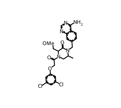 COCC1C(=O)N(Cc2ccc3c(N)ncnc3c2)C(C)CN1C(=O)COc1cc(Cl)cc(Cl)c1